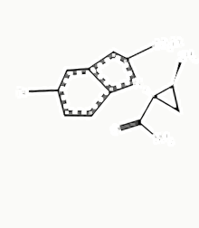 CCOC(=O)c1cc2cc(Br)ccc2n1[C@@]1(C(N)=O)C[C@@H]1C